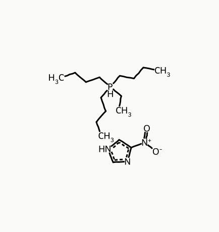 CCCC[PH](CC)(CCCC)CCCC.O=[N+]([O-])c1c[nH]cn1